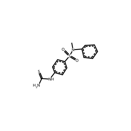 CN(c1ccccc1)S(=O)(=O)c1ccc(NC(N)=S)cc1